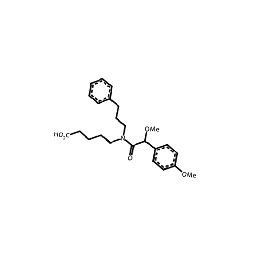 COc1ccc(C(OC)C(=O)N(CCCCC(=O)O)CCCc2ccccc2)cc1